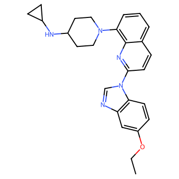 CCOc1ccc2c(c1)ncn2-c1ccc2cccc(N3CCC(NC4CC4)CC3)c2n1